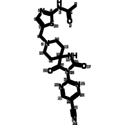 CC(=O)Nc1ncc(CN2CCC3(CC2)NC(=O)N(c2ncc(C#N)cn2)C3=O)s1